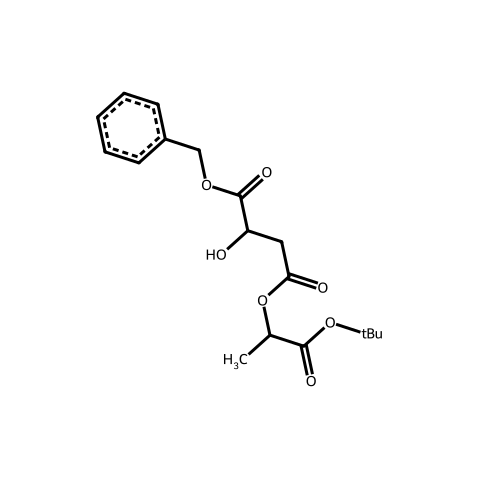 CC(OC(=O)CC(O)C(=O)OCc1ccccc1)C(=O)OC(C)(C)C